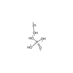 O=P(O)(O)O.[OH][Zn]